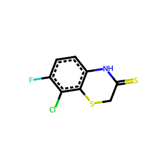 Fc1ccc2c(c1Cl)SCC(=S)N2